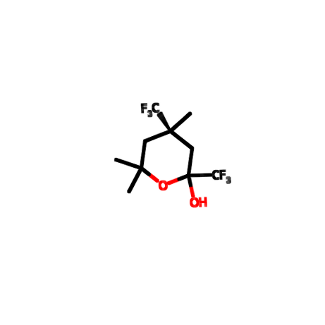 CC1(C)C[C@@](C)(C(F)(F)F)CC(O)(C(F)(F)F)O1